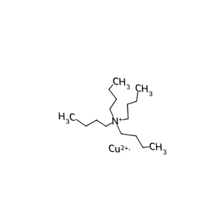 CCCC[N+](CCCC)(CCCC)CCCC.[Cu+2]